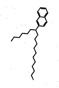 CCCCCCCCCCCC(CCCCCC)c1ccc2ccccc2c1